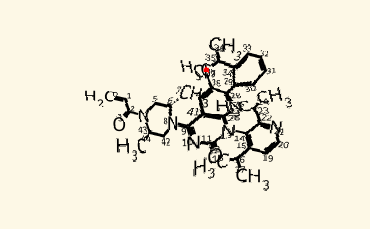 C=CC(=O)N1C[C@H](C)N(c2nc(=O)n(-c3c(C(C)C)ccnc3C(C)C)c3nc(-c4ccccc4C(C)C)c(Cl)cc23)C[C@H]1C